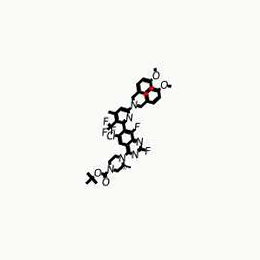 COc1ccc(CN(Cc2ccc(OC)cc2)c2cc(C)c(C(F)(F)F)c(-c3c(Cl)cc4c(N5CCN(C(=O)OC(C)(C)C)C[C@@H]5C)nc(F)nc4c3F)n2)cc1